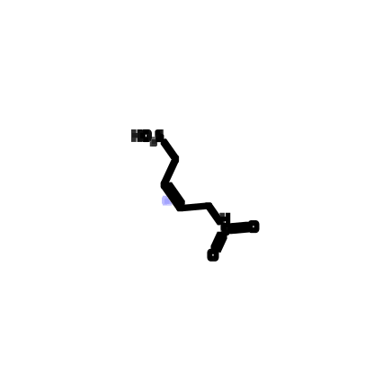 O=[SH](=O)C/C=C\CS(=O)(=O)O